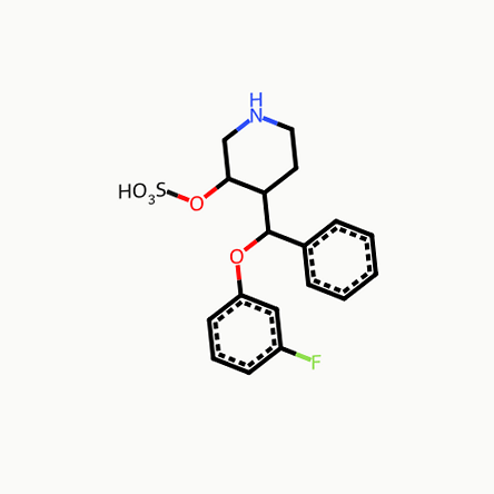 O=S(=O)(O)OC1CNCCC1C(Oc1cccc(F)c1)c1ccccc1